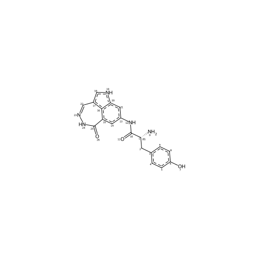 N[C@H](Cc1ccc(O)cc1)C(=O)Nc1cc2c3c(c[nH]c3c1)C=NNC2=O